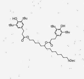 CCCCCCCCCCCCCCCCCCC(CCCCCOC(=O)CCc1cc(C(C)(C)C)c(O)c(C(C)(C)C)c1)OC(=O)CCc1cc(C(C)(C)C)c(O)c(C(C)(C)C)c1